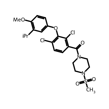 COc1ccc(Oc2c(Cl)ccc(C(=O)N3CCN(S(C)(=O)=O)CC3)c2Cl)cc1C(C)C